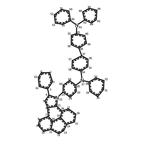 c1ccc(-c2cc3c4cccc5ccc6cccc(c6c54)c3n2-c2ccc(N(c3ccccc3)c3ccc(-c4ccc(N(c5ccccc5)c5ccccc5)cc4)cc3)cc2)cc1